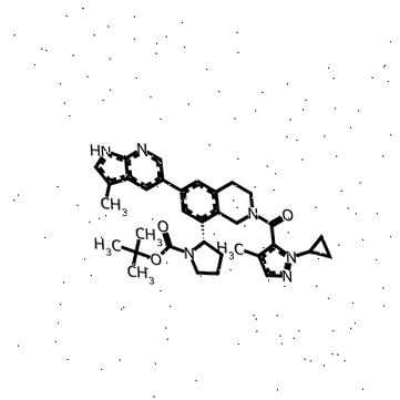 Cc1cnn(C2CC2)c1C(=O)N1CCc2cc(-c3cnc4[nH]cc(C)c4c3)cc([C@@H]3CCCN3C(=O)OC(C)(C)C)c2C1